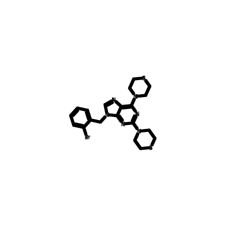 Brc1ccccc1Cn1cnc2c(N3CCSCC3)nc(N3CCSCC3)nc21